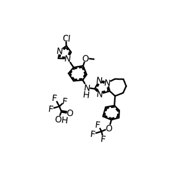 COc1cc(Nc2nc3n(n2)CCCCC3c2ccc(OC(F)(F)F)cc2)ccc1-n1cnc(Cl)c1.O=C(O)C(F)(F)F